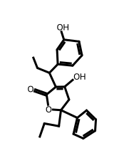 CCCC1(c2ccccc2)CC(O)=C(C(CC)c2cccc(O)c2)C(=O)O1